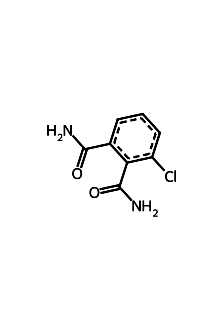 NC(=O)c1cccc(Cl)c1C(N)=O